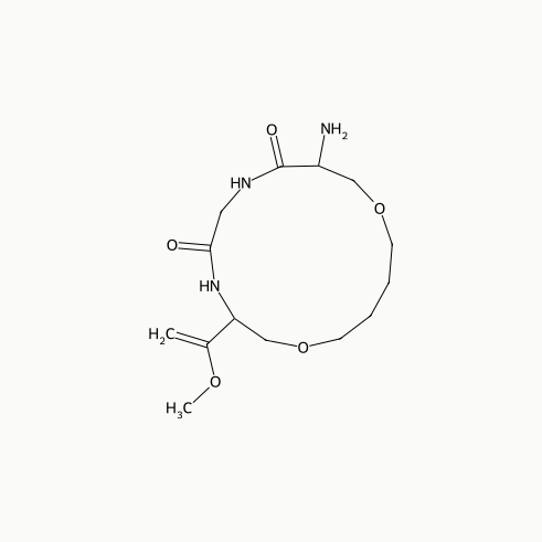 C=C(OC)C1COCCCCOCC(N)C(=O)NCC(=O)N1